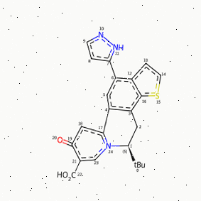 CC(C)(C)[C@@H]1Cc2c(cc(-c3ccn[nH]3)c3ccsc23)-c2cc(=O)c(C(=O)O)cn21